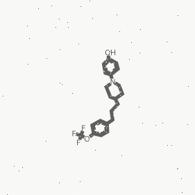 Oc1ccc(N2CCC(CCCc3ccc(OC(F)(F)F)cc3)CC2)cc1